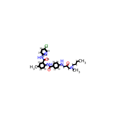 CCCCN(C)CC(=O)CNc1ccc(C(=O)Nc2ccc(C)cc2C(=O)Nc2ccc(Cl)cn2)cc1